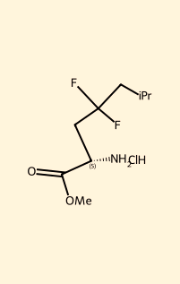 COC(=O)[C@@H](N)CC(F)(F)CC(C)C.Cl